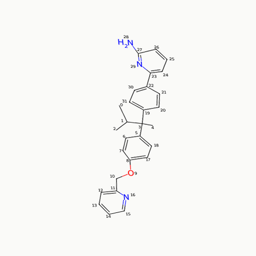 CC(C)C(C)(c1ccc(OCc2ccccn2)cc1)c1ccc(-c2cccc(N)n2)cc1